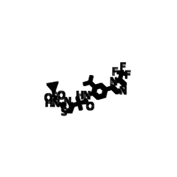 CC(C)c1cc(-c2cncc(C(F)(F)F)n2)ccc1NC(=O)C(C)(C)c1csc(NS(=O)(=O)C2CC2)n1